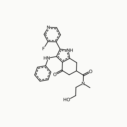 CN(CCO)C(=O)C1CC(=O)c2c([nH]c(-c3ccncc3F)c2Nc2ccccc2)C1